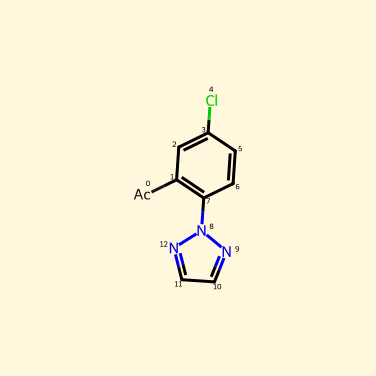 CC(=O)c1cc(Cl)ccc1-n1nccn1